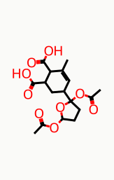 CC(=O)OC1CCC(OC(C)=O)(C2C=C(C)C(C(=O)O)C(C(=O)O)C2)O1